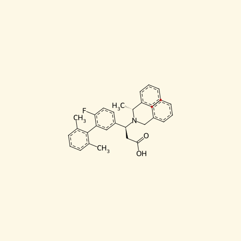 Cc1cccc(C)c1-c1cc([C@H](CC(=O)O)N(Cc2ccccc2)[C@H](C)c2ccccc2)ccc1F